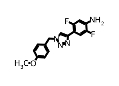 COc1ccc(Cn2cc(-c3cc(F)c(N)cc3F)nn2)cc1